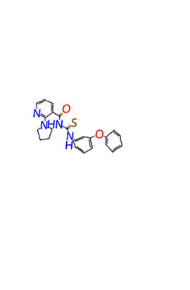 O=C(NC(=S)Nc1cccc(Oc2ccccc2)c1)c1cccnc1N1CCCC1